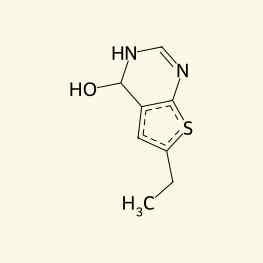 CCc1cc2c(s1)N=CNC2O